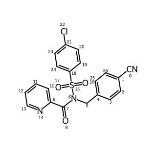 N#Cc1ccc(CN(C(=O)c2ccccn2)S(=O)(=O)c2ccc(Cl)cc2)cc1